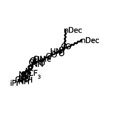 CCCCCCCCCCCCCCCCCCOC[C@H](COC(=O)NCCOCCOCCCNC(=O)CC[C@@H](NC(=O)c1ccc(N(Cc2cnc3nc(NC(=O)C(C)C)[nH]c(=O)c3n2)C(=O)C(F)(F)F)cc1)C(=O)OC)OCCCCCCCCCCCCCCCCCC